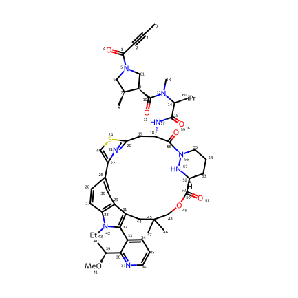 CC#CC(=O)N1C[C@H](C)[C@H](C(=O)N(C)C(C(=O)N[C@H]2Cc3nc(cs3)-c3ccc4c(c3)c(c(-c3cccnc3[C@H](C)OC)n4CC)CC(C)(C)COC(=O)[C@@H]3CCCN(N3)C2=O)C(C)C)C1